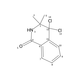 CC1(C)NC(=O)c2ccccc2C1(Cl)Cl